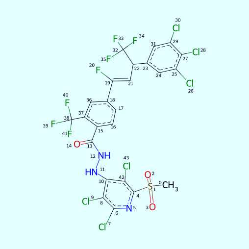 CS(=O)(=O)c1nc(Cl)c(Cl)c(NNC(=O)c2ccc(C(F)=CC(c3cc(Cl)c(Cl)c(Cl)c3)C(F)(F)F)cc2C(F)(F)F)c1Cl